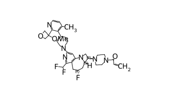 C=CC(=O)N1CCN([C@@H]2CN3c4cc(N5CCC(c6c(C)ccnc6C6(OC)COC6)CC5)nc(C(F)F)c4C[C@@H](F)C[C@@H]23)CC1